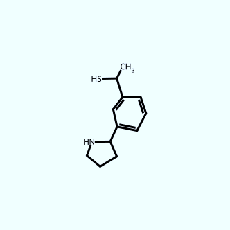 CC(S)c1cccc(C2CCCN2)c1